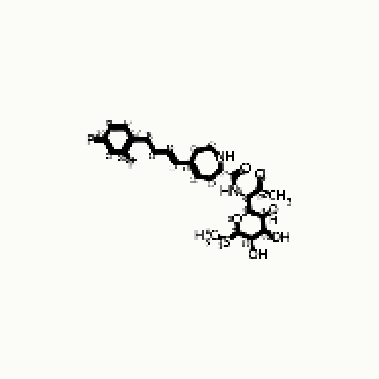 CSC1O[C@H]([C@H](NC(=O)[C@@H]2CC=C(/C=C/CCc3ccc(F)cc3F)CCN2)[C@H](C)Cl)C(O)C(O)[C@H]1O